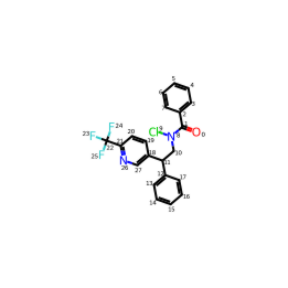 O=C(c1ccccc1)N(Cl)CC(c1ccccc1)c1ccc(C(F)(F)F)nc1